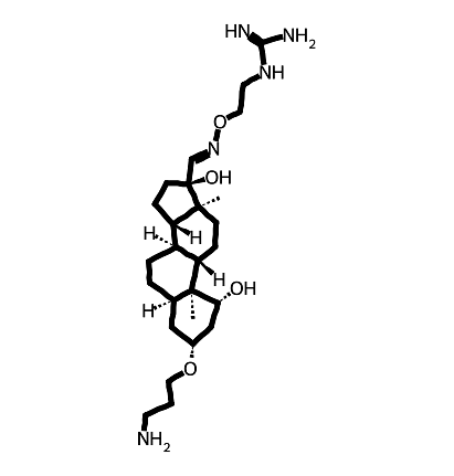 C[C@]12[C@H](CC[C@@H]3[C@@H]1CC[C@@]1(C)[C@H]3CC[C@]1(O)/C=N/OCCNC(=N)N)C[C@@H](OCCCN)C[C@H]2O